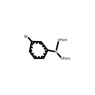 CCCCCN(CCCCC)c1cccc(Br)c1